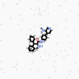 CN(C)c1cnccc1-c1ccc(NC(=O)[C@@H](NC(=O)O)C(c2ccccc2)c2ccccc2)cc1